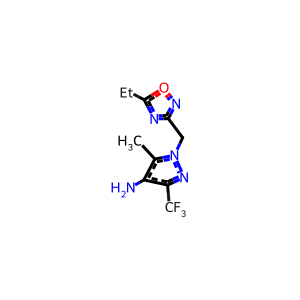 CCc1nc(Cn2nc(C(F)(F)F)c(N)c2C)no1